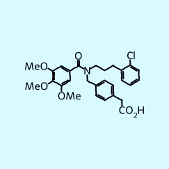 COc1cc(C(=O)N(CCCc2ccccc2Cl)Cc2ccc(CC(=O)O)cc2)cc(OC)c1OC